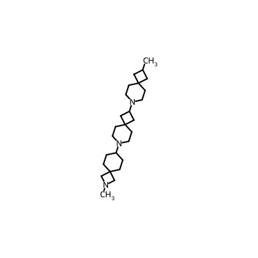 CC1CC2(CCN(C3CC4(CCN(C5CCC6(CC5)CN(C)C6)CC4)C3)CC2)C1